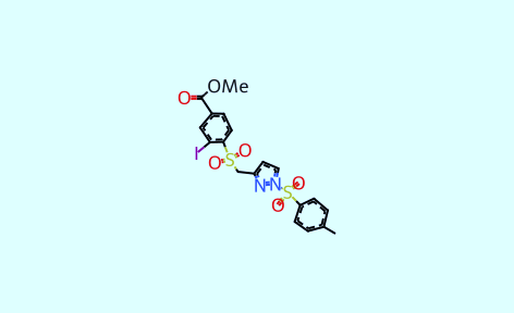 COC(=O)c1ccc(S(=O)(=O)Cc2ccn(S(=O)(=O)c3ccc(C)cc3)n2)c(I)c1